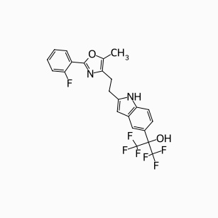 Cc1oc(-c2ccccc2F)nc1CCc1cc2cc(C(O)(C(F)(F)F)C(F)(F)F)ccc2[nH]1